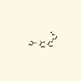 Cc1cc(COc2c(C)c(C)n(-c3ccnc(-c4ccnc(C(C)(C)O)n4)c3)c(=O)c2Cl)cs1